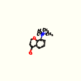 C[N+](C)(C)c1cccc2c(=O)ccoc12